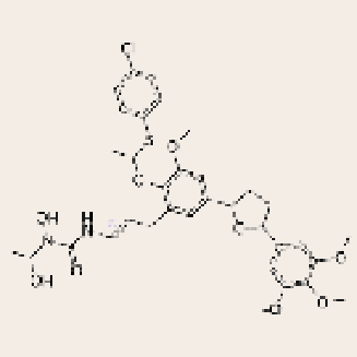 COc1cc(C2CCC(c3cc(OC)c(OC)c(OC)c3)O2)cc(C/C=C/NC(=O)N(O)C(C)O)c1OC(C)Sc1ccc(Cl)cc1